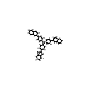 c1ccc2cc(-c3ccc(N(c4ccc(-c5ccc6ccccc6c5)cc4)c4ccc(-n5nc6ccccc6n5)cc4)cc3)ccc2c1